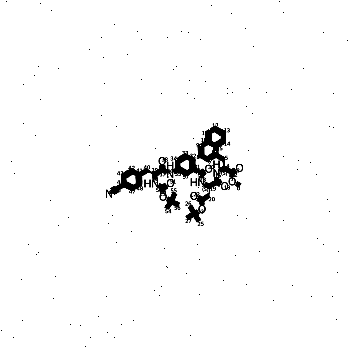 COC(=O)[C@H](Cc1cccc2ccccc12)NC(=O)[C@H](CC(=O)OC(C)(C)C)NC(=O)c1cccc(NC(=O)[C@H](Cc2ccc(C#N)cc2)NC(=O)OC(C)(C)C)c1